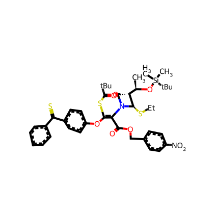 CCS[C@@H]1[C@@H]([C@@H](C)O[Si](C)(C)C(C)(C)C)C(=O)N1C(C(=O)OCc1ccc([N+](=O)[O-])cc1)=C(Oc1ccc(C(=S)c2ccccc2)cc1)SC(=O)C(C)(C)C